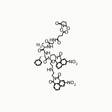 C[C@H](NC(=O)CNC(=O)CCC(=O)ON1C(=O)CCC1=O)C(=O)N[C@@H](Cc1ccccc1)C(=O)N(CCCNCCN1C(=O)c2cccc3cc([N+](=O)[O-])cc(c23)C1=O)CCN1C(=O)c2cccc3cc([N+](=O)[O-])cc(c23)C1=O